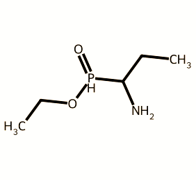 CCO[PH](=O)C(N)CC